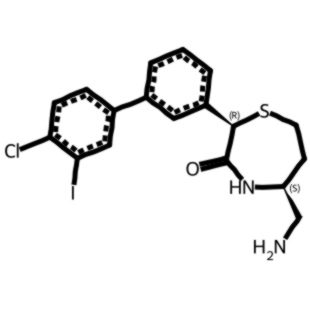 NC[C@@H]1CCS[C@H](c2cccc(-c3ccc(Cl)c(I)c3)c2)C(=O)N1